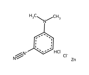 CN(C)c1cccc([N+]#N)c1.Cl.[Cl-].[Zn]